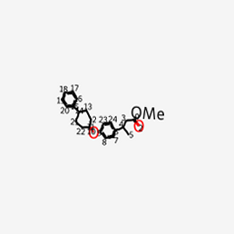 COC(=O)CC(C)c1ccc(OC2CCC(c3ccccc3)CC2)cc1